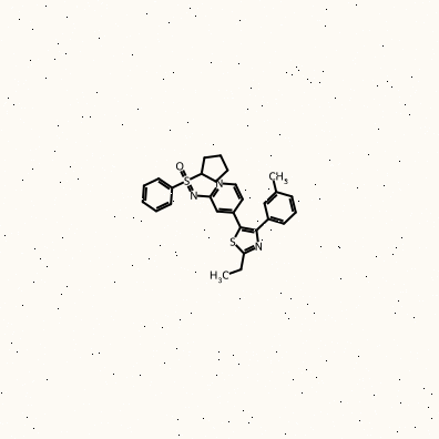 CCc1nc(-c2cccc(C)c2)c(-c2ccnc(N=S(=O)(c3ccccc3)C3CCCC3)c2)s1